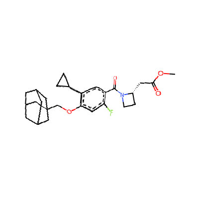 COC(=O)C[C@@H]1CCN1C(=O)c1cc(C2CC2)c(OCC23CC4CC(CC(C4)C2)C3)cc1F